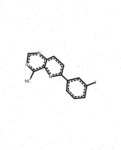 N#Cc1ncnc2ccc(-c3cccc(I)c3)nc12